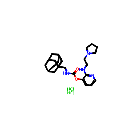 Cl.Cl.O=C(NCC12CC3CC(CC(C3)C1)C2)Oc1cccnc1NCCN1CCCC1